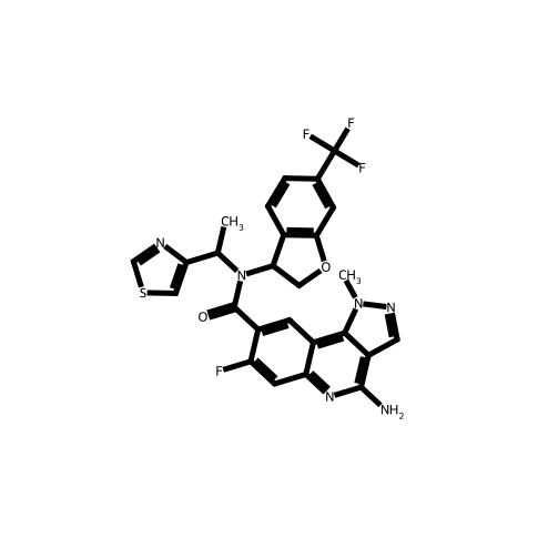 CC(c1cscn1)N(C(=O)c1cc2c(cc1F)nc(N)c1cnn(C)c12)C1COc2cc(C(F)(F)F)ccc21